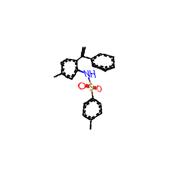 C=C(c1ccccc1)c1ccc(C)cc1NS(=O)(=O)c1ccc(C)cc1